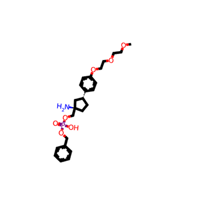 COCCOCCOc1ccc([C@@H]2CC[C@](N)(COP(=O)(O)OCc3ccccc3)C2)cc1